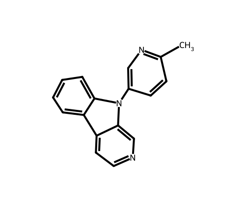 Cc1ccc(-n2c3ccccc3c3ccncc32)cn1